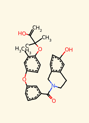 C=C(O)C(C)(C)Oc1ccc(Oc2cccc(C(=O)N3CCc4cc(O)ccc4C3)c2)cc1C